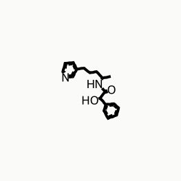 CC(CCCc1cccnc1)NC(=O)C(O)c1ccccc1